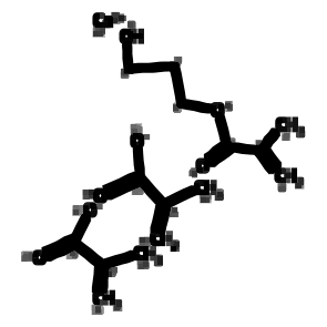 C=C(C)C(=O)OCCCO.C=C(C)C(=O)[O-].C=C(C)C(=O)[O-].[Ca+2]